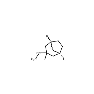 CC1(NN)C[C@@H]2CC[C@@H](C1)OC2